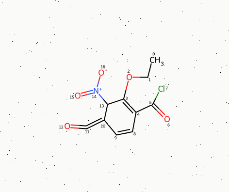 CCOC1=C(C(=O)Cl)C=CC(=C=O)C1[N+](=O)[O-]